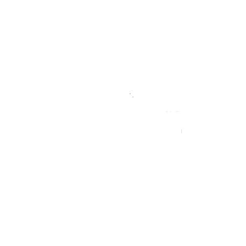 CN(C(=O)OCC1c2ccccc2-c2ccccc21)[C@H](CC(=O)O)Cc1ccc(Cl)c(F)c1